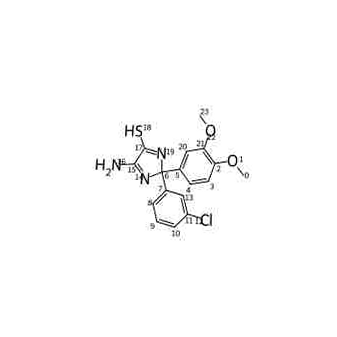 COc1ccc(C2(c3cccc(Cl)c3)N=C(N)C(S)=N2)cc1OC